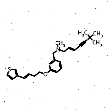 CN(C/C=C/C#CC(C)(C)C)Cc1cccc(OCC/C=C/c2ccsc2)c1